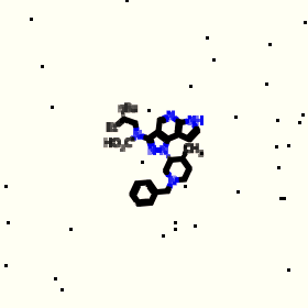 CCCC[C@@H](CC)CN(C(=O)O)c1nn([C@H]2CN(Cc3ccccc3)CC[C@@H]2C)c2c1cnc1[nH]ccc12